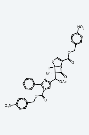 CC(=O)OC(c1cn(C(=O)OCc2ccc([N+](=O)[O-])cc2)c(-c2ccccc2)n1)[C@]1(Br)C(=O)N2C(C(=O)OCc3ccc([N+](=O)[O-])cc3)=CS[C@H]21